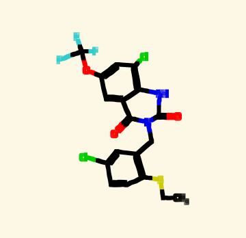 CCSc1ccc(Cl)cc1Cn1c(=O)[nH]c2c(Cl)cc(OC(F)(F)F)cc2c1=O